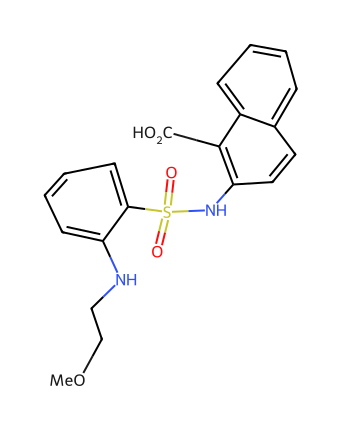 COCCNc1ccccc1S(=O)(=O)Nc1ccc2ccccc2c1C(=O)O